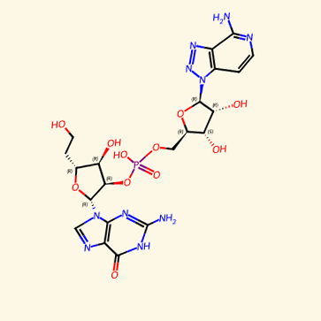 Nc1nc2c(ncn2[C@@H]2O[C@H](CCO)[C@@H](O)[C@H]2OP(=O)(O)OC[C@H]2O[C@@H](n3nnc4c(N)nccc43)[C@H](O)[C@@H]2O)c(=O)[nH]1